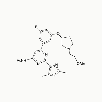 COCCN1CC[C@H](Oc2cc(F)cc(-c3cc(NC(C)=O)nc(-n4nc(C)cc4C)n3)c2)C1